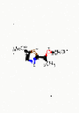 COc1cnc(C(C)OC=O)s1